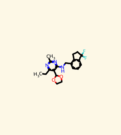 CCc1nc(C)nc(NCc2cccc3c2CCC3(F)F)c1C1OCCO1